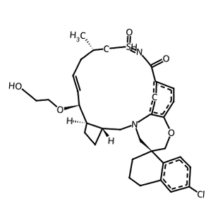 C[C@H]1C/C=C/[C@H](OCCO)[C@@H]2CC[C@H]2CN2C[C@@]3(CCCc4cc(Cl)ccc43)COc3ccc(cc32)C(=O)/N=[SH](=O)\C1